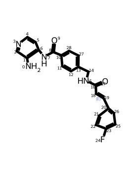 Nc1cnccc1NC(=O)c1ccc(CNC(=O)/C=C/c2ccc(F)cc2)cc1